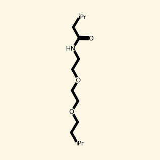 CC(C)CCOCCOCCNC(=O)CC(C)C